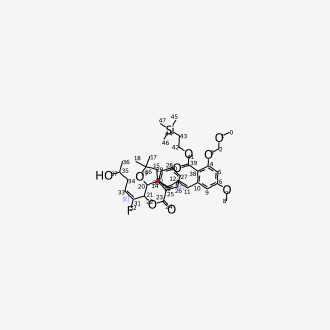 COCOc1cc(OC)cc(/C=C/C[C@@H]2CC(C)(C)OC2C(OC(=O)c2ccccc2)/C(F)=C\CC(C)O)c1C(=O)OCC[Si](C)(C)C